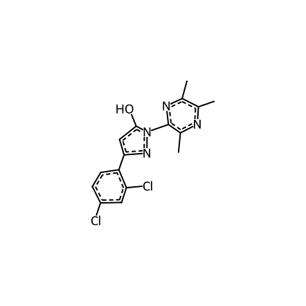 Cc1nc(C)c(-n2nc(-c3ccc(Cl)cc3Cl)cc2O)nc1C